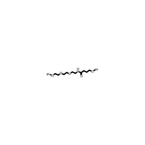 CC(C)OCCCC(=O)NCCOCCOCCOC(C)C